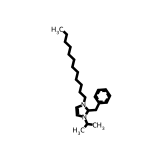 CCCCCCCCCCCCN1C=CN(C(C)C)C1Cc1ccccc1